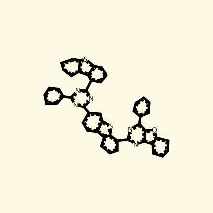 c1ccc(-c2nc(-c3ccc4c(c3)sc3c(-c5nc(-c6ccccc6)c6oc7ccccc7c6n5)cccc34)nc(-c3cccc4sc5ccccc5c34)n2)cc1